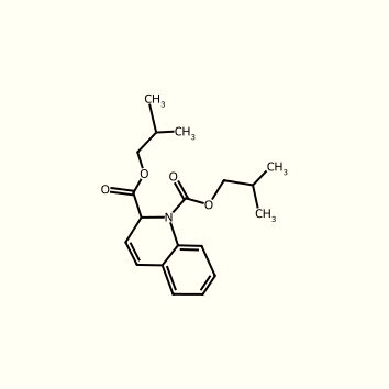 CC(C)COC(=O)C1C=Cc2ccccc2N1C(=O)OCC(C)C